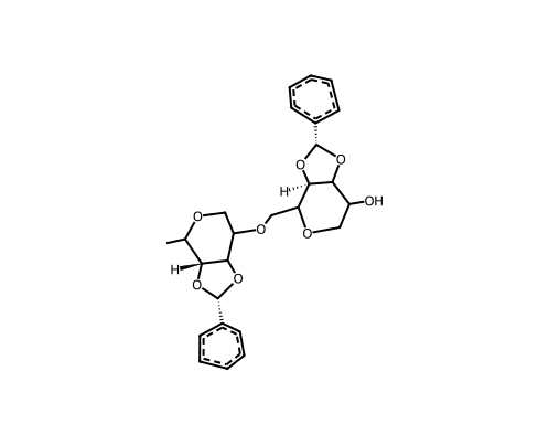 CC1OCC(OCC2OCC(O)C3O[C@@H](c4ccccc4)O[C@H]23)C2O[C@H](c3ccccc3)O[C@H]12